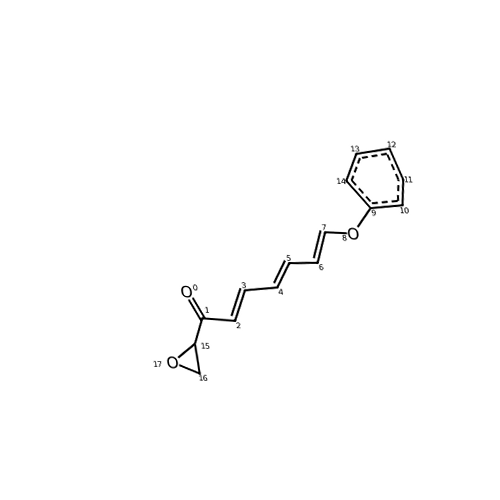 O=C(/C=C/C=C/C=C/Oc1ccccc1)C1CO1